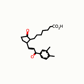 Cc1ccc(C(=O)C=CC2CCC(=O)C2CCCCCCC(=O)O)cc1C